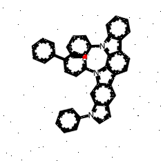 c1ccc(-c2ccc(-n3c4cc5c(ccn5-c5ccccc5)cc4c4ccc5c6ccccc6n(-c6ccccc6)c5c43)nc2)cc1